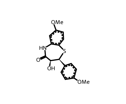 COc1ccc([C@@H]2Sc3ccc(OC)cc3NC(=O)[C@@H]2O)cc1